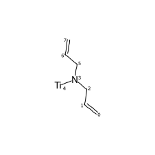 C=CC[N]([Ti])CC=C